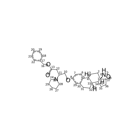 N[C@]12CC[C@@H]3c4ccc(OCC(CC(=O)OCc5ccccc5)N5CCCCC5)cc4CC[C@H]3[C@@H]1CCC2=O